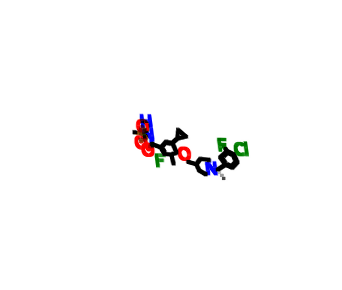 CC1C(F)=C(C(=O)NS(C)(=O)=O)C=C(C2CC2)C1OCC1CCN([C@@H](C)c2ccc(Cl)c(F)c2)CC1